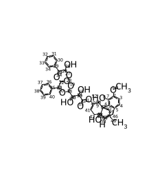 COc1ccc2c3c1O[C@H]1C(OC(=O)[C@H](O)[C@@H](O)C(=O)O[C@H](C(=O)O[C@H](C(=O)O)c4ccccc4)c4ccccc4)=CC[C@@]4(O)[C@@H](C2)C(C)CC[C@]314